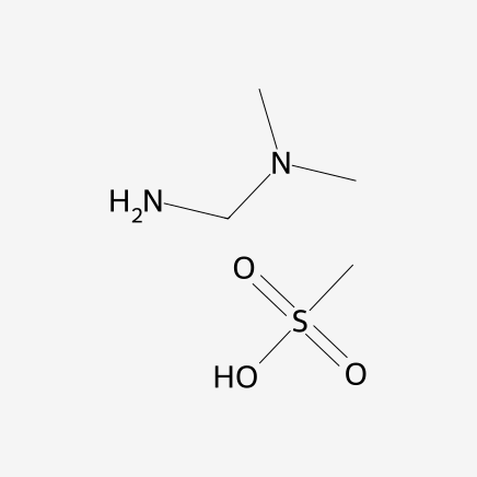 CN(C)CN.CS(=O)(=O)O